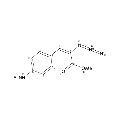 COC(=O)/C(=C\c1ccc(NC(C)=O)cc1)N=[N+]=[N-]